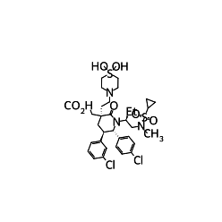 CC[C@@H](CN(C)S(=O)(=O)C1CC1)N1C(=O)[C@](CCN2CCS(O)(O)CC2)(CC(=O)O)C[C@H](c2cccc(Cl)c2)[C@H]1c1ccc(Cl)cc1